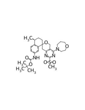 C[C@H]1CCC2(Cc3nc(S(C)(=O)=O)nc(N4CCCOCC4)c3CO2)c2cc(NC(=O)OC(C)(C)C)ccc21